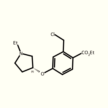 CCOC(=O)c1ccc(O[C@@H]2CCN(CC)C2)cc1CCl